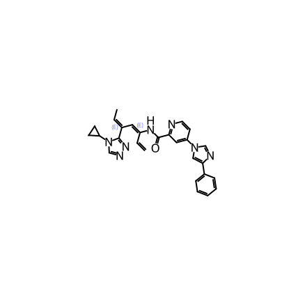 C=C/C(=C\C(=C/C)c1nncn1C1CC1)NC(=O)c1cc(-n2cnc(-c3ccccc3)c2)ccn1